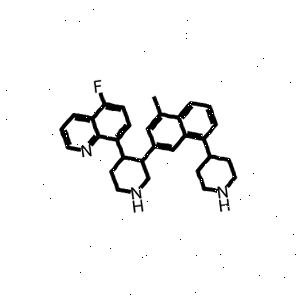 Cc1cc(C2CNCCC2c2ccc(F)c3cccnc23)cc2c(C3CCNCC3)cccc12